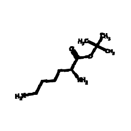 CC(C)(C)OC(=O)[C@@H](N)CCCCN